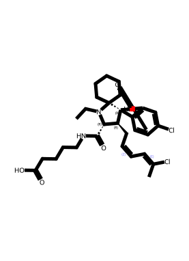 CCN1[C@@H](C(=O)NCCCCC(=O)O)[C@H](C/C=C\C=C(/C)Cl)[C@]2(C(=O)Nc3cc(Cl)ccc32)C12CCCCC2